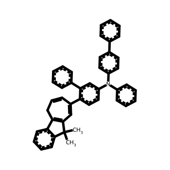 CC1(C)C2=C(CC=CC(c3ccc(N(c4ccccc4)c4ccc(-c5ccccc5)cc4)cc3-c3ccccc3)=C2)c2ccccc21